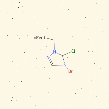 CCCCCCN1N=CN(Br)C1Cl